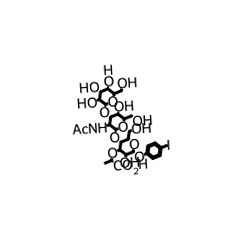 CC(=O)NC1C(O[C@@H]2OC(CO)[C@H](O)C(O)C2O)[C@@H](O)C(CO)O[C@H]1O[C@H]1C(CO)O[C@@H](Oc2ccc(I)cc2)C(O)C1O[C@@H](C)C(=O)O